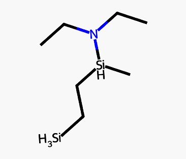 CCN(CC)[SiH](C)CC[SiH3]